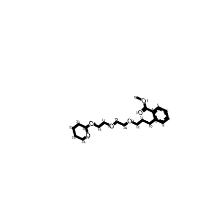 COC(=O)c1ccccc1CCCOCCOCCOC1CCCCO1